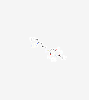 CCC(C(=O)C(C)C)N1C(=O)CC(SCCCC(=N)CC(C)C)C1=O